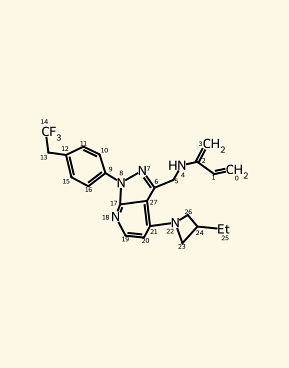 C=CC(=C)NCc1nn(-c2ccc(CC(F)(F)F)cc2)c2nccc(N3CC(CC)C3)c12